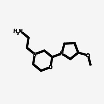 COC1CCN(C2CN(CCN)CCO2)C1